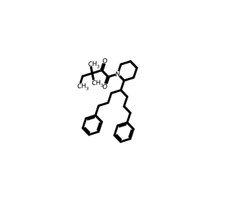 CCC(C)(C)C(=O)C(=O)N1CCCCC1C(CCCc1ccccc1)CCCc1ccccc1